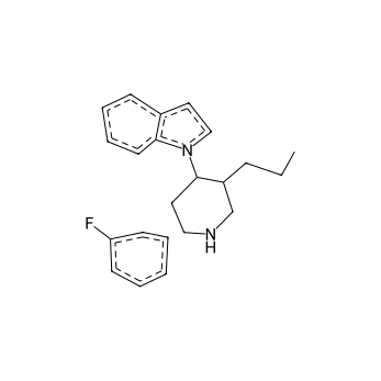 CCCC1CNCCC1n1ccc2ccccc21.Fc1ccccc1